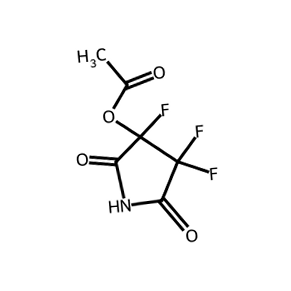 CC(=O)OC1(F)C(=O)NC(=O)C1(F)F